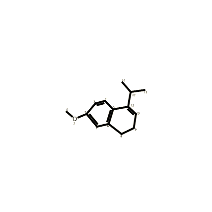 COc1ccc2c(c1)CCC=C2C(C)C